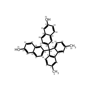 Cc1ccc2c(c1)-c1cc(C)ccc1C2(c1ccc2cc(O)ccc2c1)c1ccc2cc(O)ccc2c1